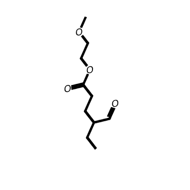 CCC(C=O)CCC(=O)OCCOC